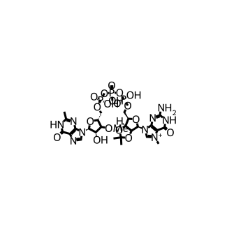 COC1[C@@H](COP(=O)(O)OP(=O)(O)OP(=O)(O)OC[C@H]2O[C@@H](n3c[n+](C)c4c(=O)[nH]c(N)nc43)C3OC(C)(C)O[C@H]32)O[C@@H](n2cnc3c(=O)[nH]c(C)nc32)[C@H]1O